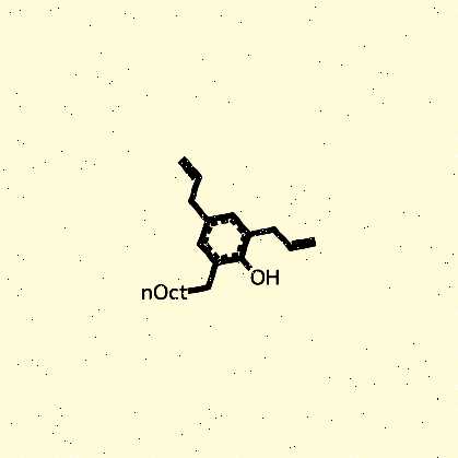 C=CCc1cc(CC=C)c(O)c(CCCCCCCCC)c1